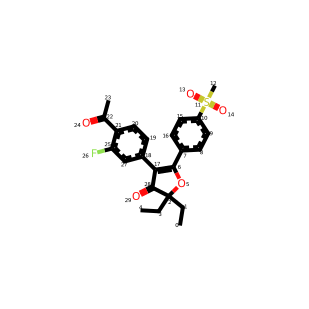 CCC1(CC)OC(c2ccc(S(C)(=O)=O)cc2)=C(c2ccc(C(C)=O)c(F)c2)C1=O